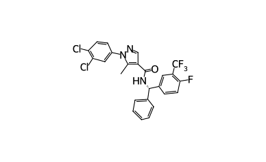 Cc1c(C(=O)N[C@@H](c2ccccc2)c2ccc(F)c(C(F)(F)F)c2)cnn1-c1ccc(Cl)c(Cl)c1